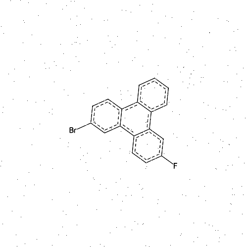 Fc1ccc2c(c1)c1ccccc1c1ccc(Br)cc12